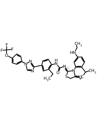 CCNc1ccc(C(C)C)c(N2C(=O)CS/C2=N\C(=O)Nc2ccc(-c3ncn(-c4ccc(OC(F)(F)F)cc4)n3)cc2CC)c1